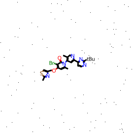 Cc1nc(COc2cc(C)n(-c3cc(-c4ccnc(C(C)(C)C)n4)ncc3C)c(=O)c2Br)cs1